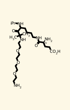 CC(C)NC(CCCCNC(=O)[C@@H](N)CCC(=O)O)C(=O)C(C)(C)NCCOCCOCCOCCN